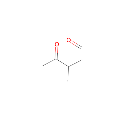 C=O.CC(=O)C(C)C